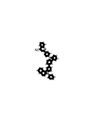 N#Cc1cc(-c2ccc(-n3c4ccccc4c4cc(-c5ccc6c(c5)c5c7ccccc7ccc5n6-c5ccccc5)ccc43)cc2)nc2ccccc12